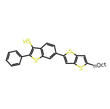 CCCCCCCCc1cc2sc(-c3ccc4c(S)c(-c5ccccc5)sc4c3)cc2s1